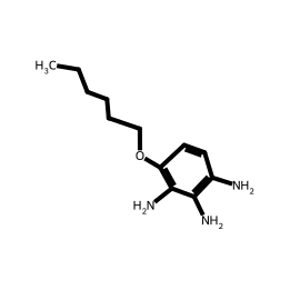 CCCCCCOc1ccc(N)c(N)c1N